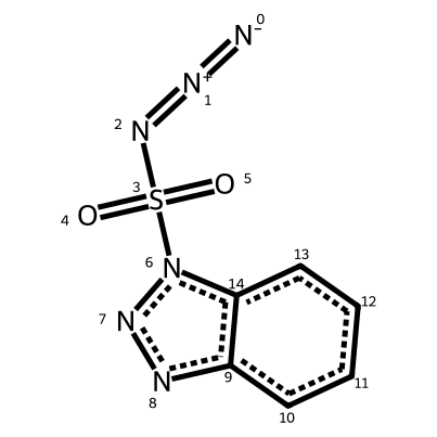 [N-]=[N+]=NS(=O)(=O)n1nnc2ccccc21